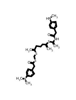 C=C(CCCC(=C)SC(=C)NC(=O)Cc1ccc(NC)cc1)SCSC(=O)Cc1ccc(N(C)C)cc1